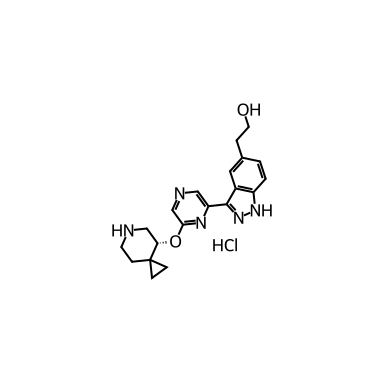 Cl.OCCc1ccc2[nH]nc(-c3cncc(O[C@H]4CNCCC45CC5)n3)c2c1